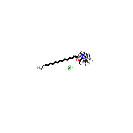 CCCCCCCCCCCCCCC(C)OC(C)C([N+](C)(C)C)[N+](C)(C)C.[Cl-].[Cl-]